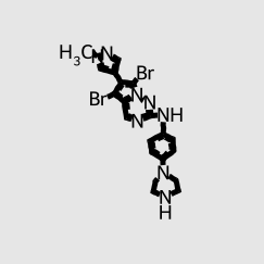 Cn1cc(-c2c(Br)c3cnc(Nc4ccc(N5CCNCC5)cc4)nn3c2Br)cn1